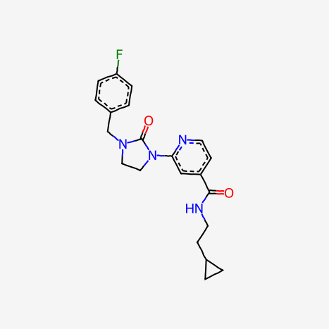 O=C(NCCC1CC1)c1ccnc(N2CCN(Cc3ccc(F)cc3)C2=O)c1